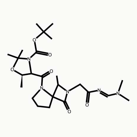 CC1N(CC(=O)/N=C/N(C)C)C(=O)C12CCCN2C(=O)C1[C@@H](C)OC(C)(C)N1C(=O)OC(C)(C)C